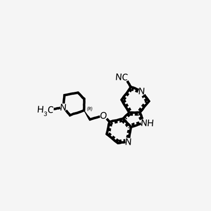 CN1CCC[C@@H](COc2ccnc3[nH]c4cnc(C#N)cc4c23)C1